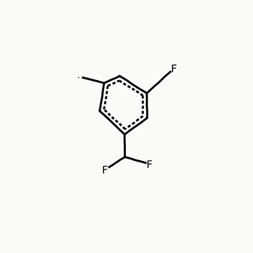 [CH2]c1cc(F)cc(C(F)F)c1